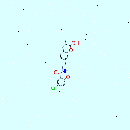 COc1ccc(Cl)cc1C(=O)NCCc1ccc(CC(C)C(=O)O)cc1